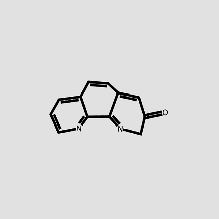 O=C1C=c2ccc3cccnc3c2=NC1